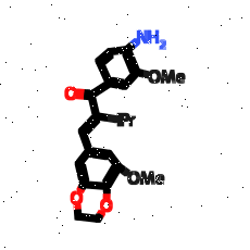 COc1cc(C(=O)/C(=C/c2cc(OC)c3c(c2)OCCO3)C(C)C)ccc1N